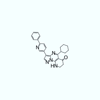 O=C1CCNc2c1c(C1CCCCC1)nc1c(-c3ccc(-c4ccccc4)nc3)cnn21